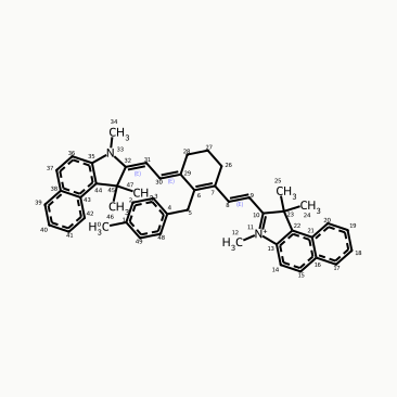 Cc1ccc(CC2=C(/C=C/C3=[N+](C)c4ccc5ccccc5c4C3(C)C)CCC/C2=C\C=C2\N(C)c3ccc4ccccc4c3C2(C)C)cc1